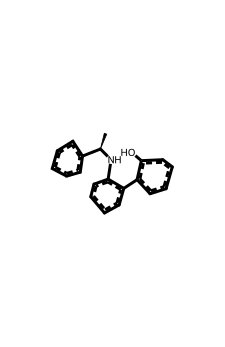 C[C@@H](Nc1ccccc1-c1ccccc1O)c1ccccc1